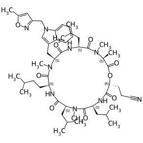 Cc1cc(Cn2cc(C[C@H]3C(=O)N[C@@H](CC(C)C)C(=O)N(C)[C@@H](C)C(=O)O[C@H](CCC#N)C(=O)N[C@@H](CC(C)C)C(=O)N(C)[C@@H](CC(C)C)C(=O)N[C@@H](CCC(C)C)C(=O)N3C)c3ccccc32)no1